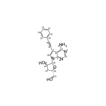 Nc1ncnc2c1c(C#Cc1ccccc1)cn2C1O[C@H](CO)C[C@H]1O